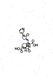 O=C(O)C1=C(/C=C2\CCN(c3cccnc3)C2=O)C2CCN(C(=O)O)[C@@H]3C(=O)N1[C@H]23